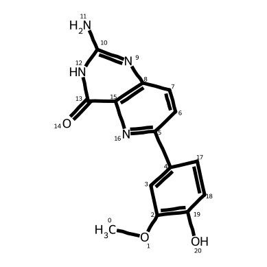 COc1cc(-c2ccc3nc(N)[nH]c(=O)c3n2)ccc1O